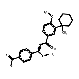 C=C(/N=C(\OC)c1ccc(C(N)=O)cc1)c1ccc(OC)c(C2(C)CCCCC2)c1